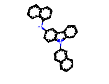 c1ccc2cc(-n3c4ccccc4c4cc(Nc5cccc6ccccc56)ccc43)ccc2c1